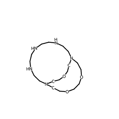 C1CNCCN2CCOCCOCCN(CCNCCN1)CCOCC2